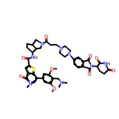 COc1cc(-c2cn(C)c(=O)c3cc(C(=O)NC4CCC5CN(C(=O)CCN6CCN(c7ccc8c(c7)C(=O)N(C7CCC(=O)NC7=O)C8=O)CC6)CC54)sc23)cc(OC)c1CN(C)C